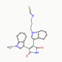 Cn1cc(C2=C(c3cn(CCCN=C=S)c4ccccc34)C(=O)NC2=O)c2ccccc21